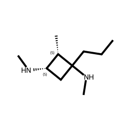 CCCC1(NC)C[C@H](NC)[C@@H]1C